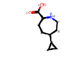 O=C(O)C1CCC(C2CC2)CCN1